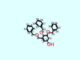 O[C@H]1C=C(COCc2ccccc2)[C@@H](OCc2ccccc2)C(OCc2ccccc2)C1